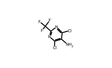 Nc1c(Cl)nc(C(F)(F)F)nc1Cl